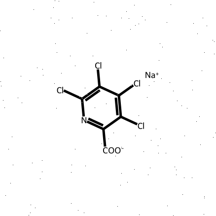 O=C([O-])c1nc(Cl)c(Cl)c(Cl)c1Cl.[Na+]